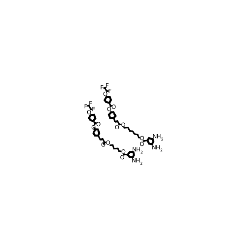 Nc1cc(N)cc(C(=O)OCCCCCCCOC(=O)C=Cc2ccc(OC(=O)c3ccc(OC(F)C(F)F)cc3)cc2)c1.Nc1cc(N)cc(C(=O)OCCCCCOC(=O)C=Cc2ccc(OC(=O)c3ccc(OC(F)C(F)F)cc3)cc2)c1